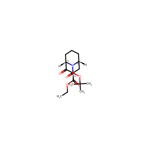 CCOC(=O)[C@@H]1C[C@H]2CCC[C@@H](C1=O)N2C(=O)OC(C)(C)C